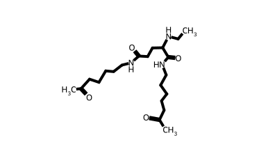 CCNC(CCC(=O)NCCCCCC(C)=O)C(=O)NCCCCCC(C)=O